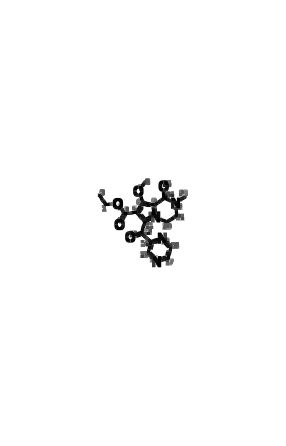 CCOC(=O)c1c(OC)c2n(c1C(=O)c1cnccn1)CCN(C)C2=O